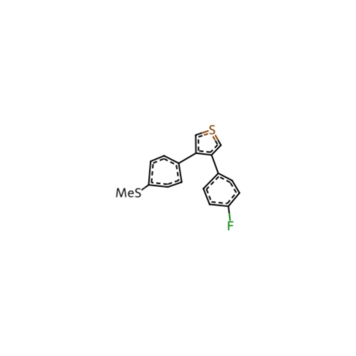 CSc1ccc(-c2cscc2-c2ccc(F)cc2)cc1